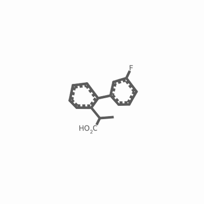 CC(C(=O)O)c1ccccc1-c1cccc(F)c1